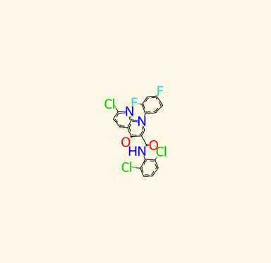 O=C(Nc1c(Cl)cccc1Cl)c1cn(-c2ccc(F)cc2F)c2nc(Cl)ccc2c1=O